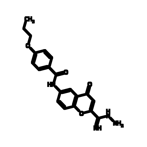 CCCOc1ccc(C(=O)Nc2ccc3oc(C(=N)NN)cc(=O)c3c2)cc1